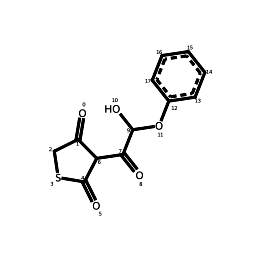 O=C1CSC(=O)C1C(=O)C(O)Oc1ccccc1